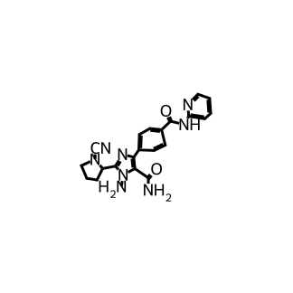 N#CN1CCCC1c1nc(-c2ccc(C(=O)Nc3ccccn3)cc2)c(C(N)=O)n1N